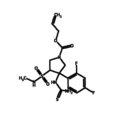 C=CCOC(=O)N1CC(S(=O)(=O)NC)C(NC(N)=S)(c2ccc(F)cc2F)C1